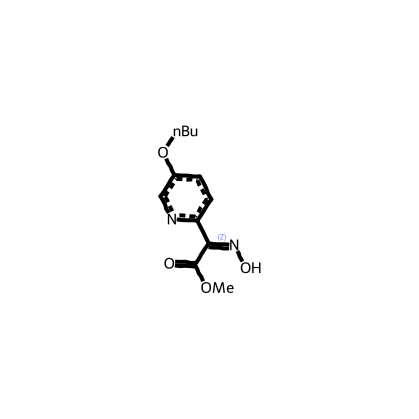 CCCCOc1ccc(/C(=N/O)C(=O)OC)nc1